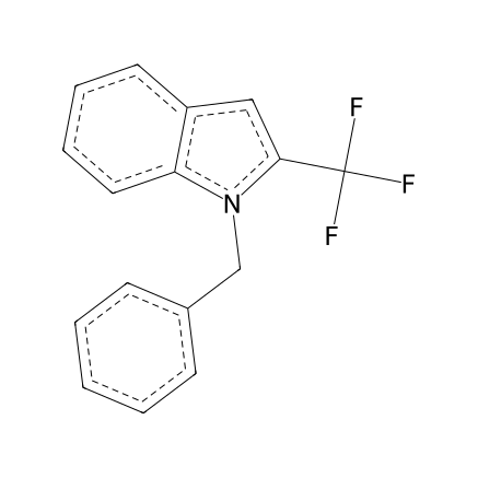 FC(F)(F)c1cc2ccccc2n1Cc1ccccc1